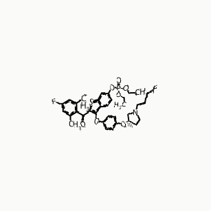 CCOP(=O)(OCC)Oc1ccc2c(Oc3ccc(O[C@H]4CCN(CCCF)C4)cc3)c(C(=O)c3c(C)cc(F)cc3C)sc2c1